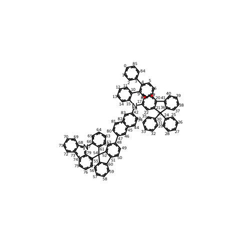 c1ccc(-c2ccccc2-c2ccccc2N(c2ccc3c(c2)C(c2ccccc2)(c2ccccc2)c2ccccc2-3)c2ccc3cc(-c4ccc5c(c4)C4(c6ccccc6-5)c5ccccc5-n5c6ccccc6c6cccc4c65)ccc3c2)cc1